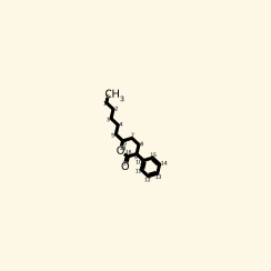 CCCCCCC1CCC(c2ccccc2)C(=O)O1